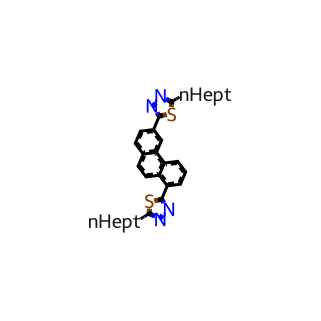 CCCCCCCc1nnc(-c2ccc3ccc4c(-c5nnc(CCCCCCC)s5)cccc4c3c2)s1